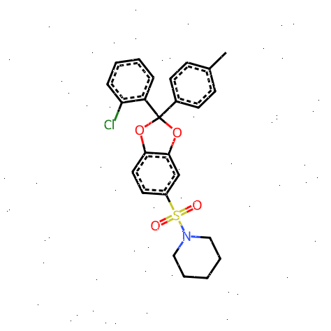 Cc1ccc(C2(c3ccccc3Cl)Oc3ccc(S(=O)(=O)N4CCCCC4)cc3O2)cc1